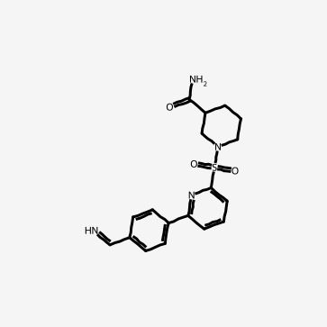 N=Cc1ccc(-c2cccc(S(=O)(=O)N3CCCC(C(N)=O)C3)n2)cc1